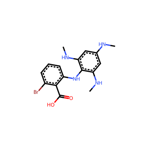 CNc1cc(NC)c(Nc2cccc(Br)c2C(=O)O)c(NC)c1